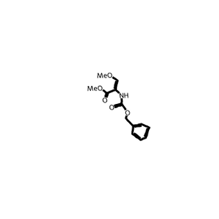 COC=C(NC(=O)OCc1ccccc1)C(=O)OC